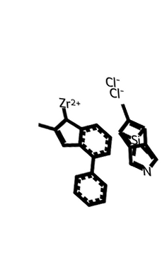 CC1=C2C3=CN=CC3=C1[Si]2(C)C.CC1=Cc2c(-c3ccccc3)cccc2[CH]1[Zr+2].[Cl-].[Cl-]